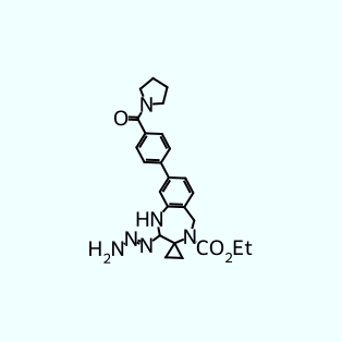 CCOC(=O)N1Cc2ccc(-c3ccc(C(=O)N4CCCC4)cc3)cc2NC(N=NN)C12CC2